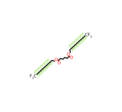 O=C(CCCCC(=O)OCCC(F)(F)C(F)(F)C(F)(F)C(F)(F)C(F)(F)C(F)(F)C(F)(F)C(F)(F)C(F)(F)F)OCCC(F)(F)C(F)(F)C(F)(F)C(F)(F)C(F)(F)C(F)(F)C(F)(F)C(F)(F)C(F)(F)F